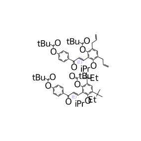 C=CCc1cc(CC=C)c(OC(C)C)c(/C=C/C(=O)c2ccc(OC(=O)C(C)(C)C)cc2)c1OC(=O)C(C)(C)C.CCC(C)(C)c1cc(C(C)(C)CC)c(OC(C)C)c(/C=C/C(=O)c2ccc(OC(=O)C(C)(C)C)cc2)c1OC(=O)C(C)(C)C